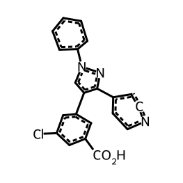 O=C(O)c1cc(Cl)cc(-c2cn(-c3ccccc3)nc2-c2ccncc2)c1